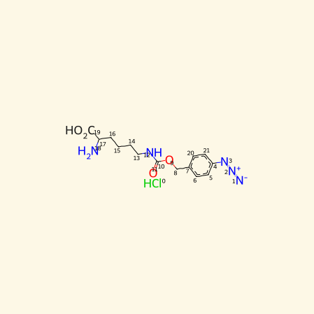 Cl.[N-]=[N+]=Nc1ccc(COC(=O)NCCCCC(N)C(=O)O)cc1